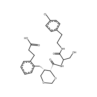 O=C(O)CCc1ccccc1C[C@H]1COCO[C@H]1C(=O)NC(CO)C(=O)NCCc1ccc(Cl)cc1